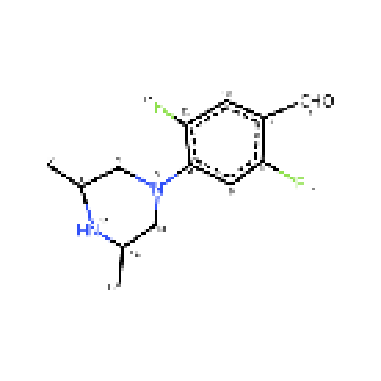 CC1CN(c2cc(F)c(C=O)cc2F)CC(C)N1